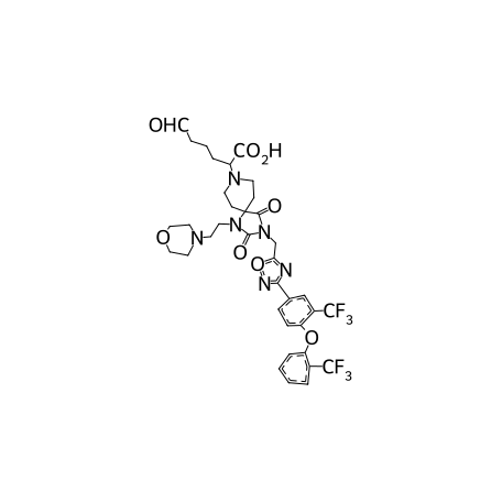 O=CCCCC(C(=O)O)N1CCC2(CC1)C(=O)N(Cc1nc(-c3ccc(Oc4ccccc4C(F)(F)F)c(C(F)(F)F)c3)no1)C(=O)N2CCN1CCOCC1